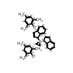 C1=C[CH]([Zr+2]2([CH]3C=Cc4ccccc43)[CH2][CH2]2)c2ccccc21.Cc1cc(C)c([O-])c(C)c1.Cc1cc(C)c([O-])c(C)c1